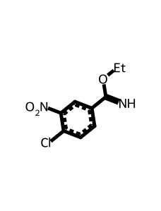 CCOC(=N)c1ccc(Cl)c([N+](=O)[O-])c1